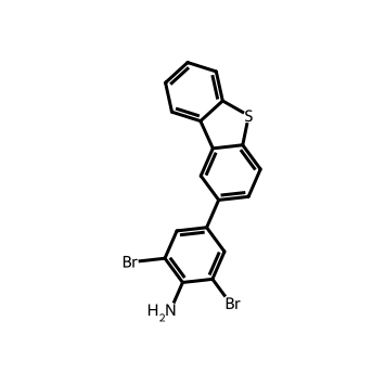 Nc1c(Br)cc(-c2ccc3sc4ccccc4c3c2)cc1Br